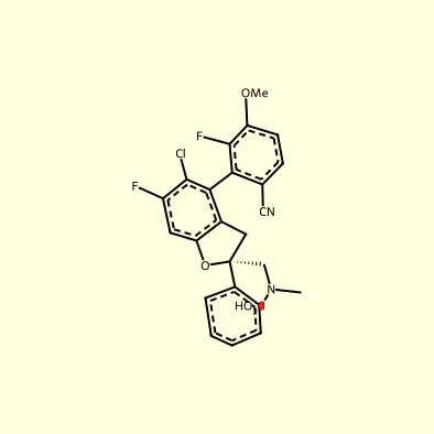 COc1ccc(C#N)c(-c2c(Cl)c(F)cc3c2C[C@@](CN(C)C(=O)O)(c2ccccc2)O3)c1F